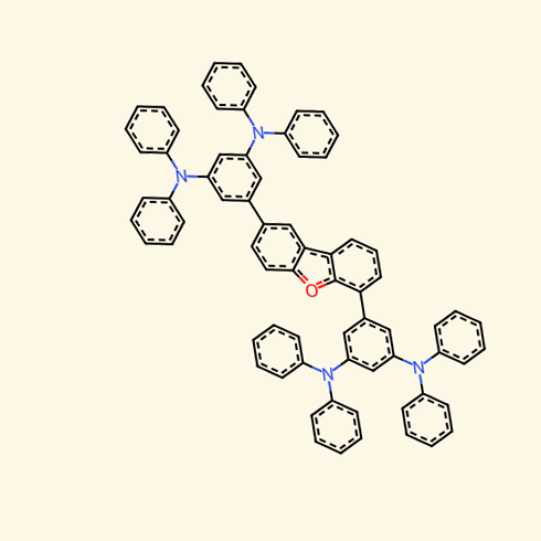 c1ccc(N(c2ccccc2)c2cc(-c3ccc4oc5c(-c6cc(N(c7ccccc7)c7ccccc7)cc(N(c7ccccc7)c7ccccc7)c6)cccc5c4c3)cc(N(c3ccccc3)c3ccccc3)c2)cc1